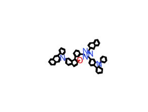 c1ccc(-n2c3ccccc3c3ccc(-c4nc(-c5ccc6ccccc6c5)nc(-c5cccc6c5oc5ccc7ccc(-n8c9ccccc9c9cc%10ccccc%10cc98)cc7c56)n4)cc32)cc1